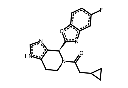 O=C(CC1CC1)N1CCc2[nH]cnc2[C@H]1c1nc2cc(F)ccc2o1